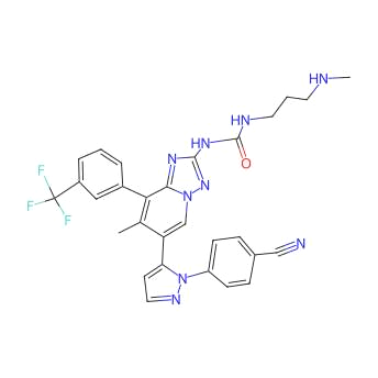 CNCCCNC(=O)Nc1nc2c(-c3cccc(C(F)(F)F)c3)c(C)c(-c3ccnn3-c3ccc(C#N)cc3)cn2n1